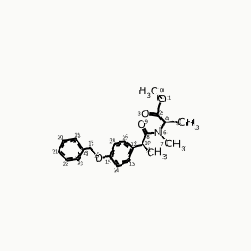 COC(=O)[C@@H](C)N(C)C(=O)C(C)c1ccc(OCc2ccccc2)cc1